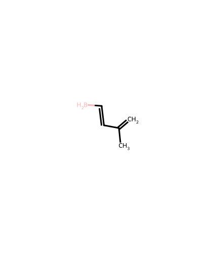 BC=CC(=C)C